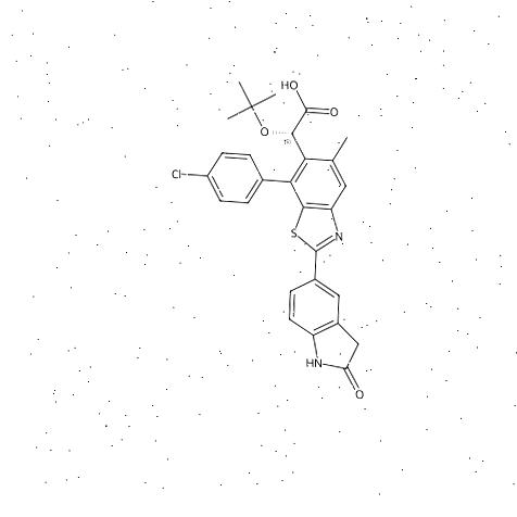 Cc1cc2nc(-c3ccc4c(c3)CC(=O)N4)sc2c(-c2ccc(Cl)cc2)c1[C@H](OC(C)(C)C)C(=O)O